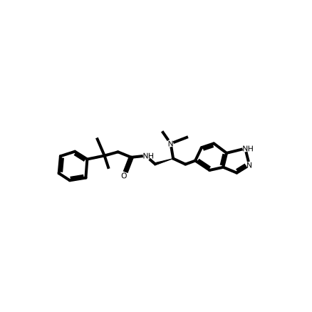 CN(C)[C@H](CNC(=O)CC(C)(C)c1ccccc1)Cc1ccc2[nH]ncc2c1